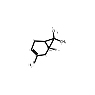 CC1=CCC2[C@@H](C1)C2(C)C